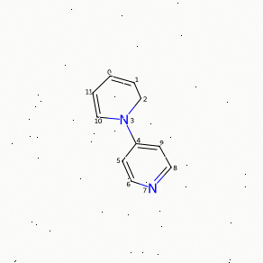 C1=CCN(c2ccncc2)C=C1